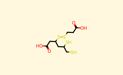 O=C(O)CCSSC(CC(=O)O)CC(S)CS